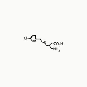 NCC(CSCCc1ccc(Cl)cc1)CC(=O)O